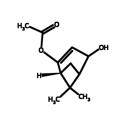 CC(=O)OC1=CC(O)C2C[C@@H]1C2(C)C